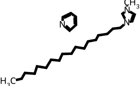 CCCCCCCCCCCCCCCCCCN1C=CN(C)C1.c1ccncc1